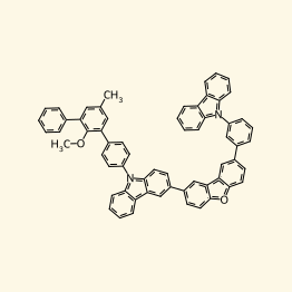 COc1c(-c2ccccc2)cc(C)cc1-c1ccc(-n2c3ccccc3c3cc(-c4ccc5oc6ccc(-c7cccc(-n8c9ccccc9c9ccccc98)c7)cc6c5c4)ccc32)cc1